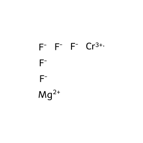 [Cr+3].[F-].[F-].[F-].[F-].[F-].[Mg+2]